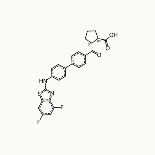 O=C(O)[C@@H]1CCC[C@H]1C(=O)c1ccc(-c2ccc(Nc3nc4c(F)cc(F)cc4s3)cc2)cc1